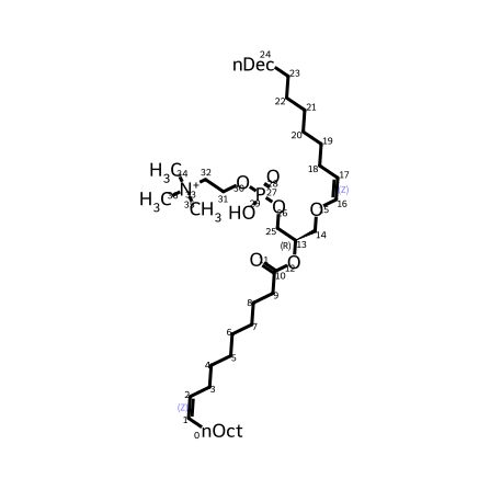 CCCCCCCC/C=C\CCCCCCCC(=O)O[C@H](CO/C=C\CCCCCCCCCCCCCCCC)COP(=O)(O)OCC[N+](C)(C)C